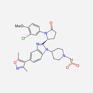 COc1ccc(N2C(=O)CC[C@H]2c2nc3cc(-c4c(C)noc4C)ccc3n2C2CCN(C[SH](=O)=O)CC2)cc1Cl